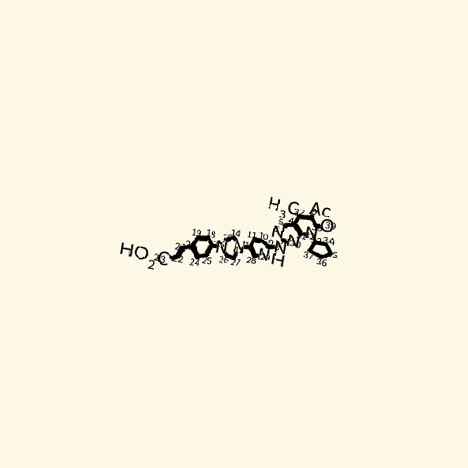 CC(=O)c1c(C)c2cnc(Nc3ccc(N4CCN(c5ccc(/C=C/C(=O)O)cc5)CC4)cn3)nc2n(C2CCCC2)c1=O